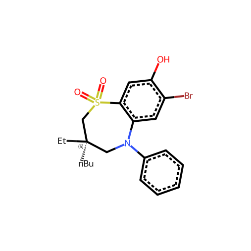 CCCC[C@@]1(CC)CN(c2ccccc2)c2cc(Br)c(O)cc2S(=O)(=O)C1